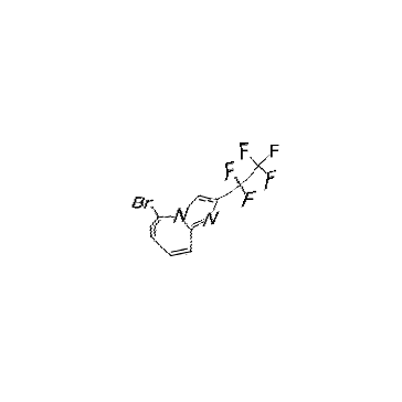 FC(F)(F)C(F)(F)c1cn2c(Br)cccc2n1